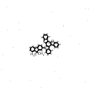 CC1(C)c2ccccc2-c2ccc(-n3c4ccccc4c4c5c6ccccc6oc5c5c6ccccc6sc5c43)cc21